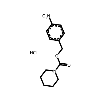 Cl.O=C(OCc1ccc([N+](=O)[O-])cc1)N1CCCCC1